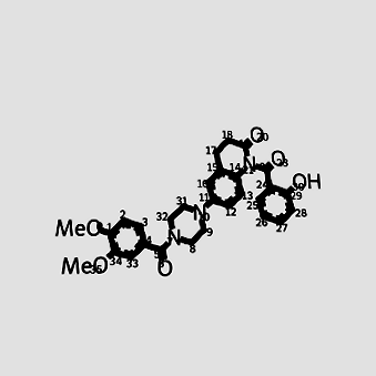 COc1ccc(C(=O)N2CCN(c3ccc4c(c3)CCC(=O)N4C(=O)c3ccccc3O)CC2)cc1OC